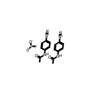 CC(=O)Nc1ccc([N+]#N)cc1.CC(=O)Nc1ccc([N+]#N)cc1.[O-]B([O-])F